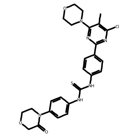 Cc1c(Cl)nc(-c2ccc(NC(=S)Nc3ccc(N4CCOCC4=O)cc3)cc2)nc1N1CCOCC1